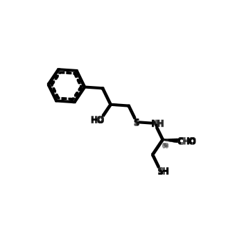 O=C[C@@H](CS)NSCC(O)Cc1ccccc1